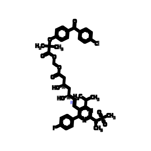 CC(C)c1nc(N(C)S(C)(=O)=O)nc(-c2ccc(F)cc2)c1/C=C/[C@H](O)C[C@@H](O)CC(=O)OCOC(=O)C(C)(C)Oc1ccc(C(=O)c2ccc(Cl)cc2)cc1